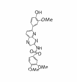 COc1cc(-c2ccc3ncc(NS(=O)(=O)c4ccc(OC)c(OC)c4)nc3n2)ccc1O